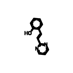 Oc1ccccc1C=Cc1ncccn1